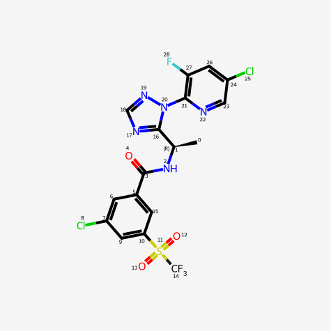 C[C@@H](NC(=O)c1cc(Cl)cc(S(=O)(=O)C(F)(F)F)c1)c1ncnn1-c1ncc(Cl)cc1F